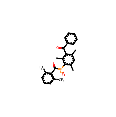 Cc1cc(C)c([PH](=O)C(=O)c2c(C(F)(F)F)cccc2C(F)(F)F)c(C)c1C(=O)c1ccccc1